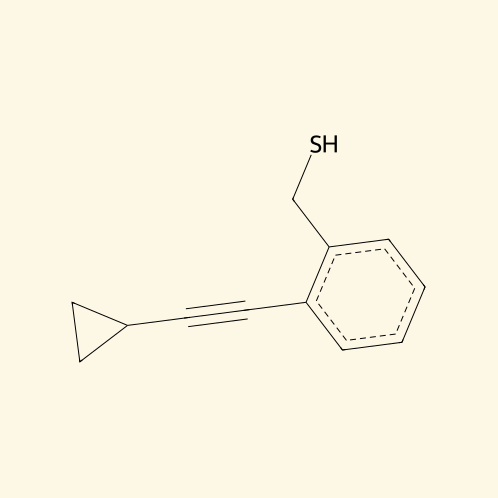 SCc1ccccc1C#CC1CC1